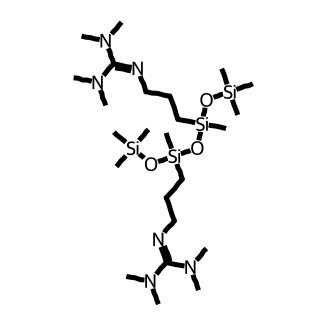 CN(C)C(=NCCC[Si](C)(O[Si](C)(C)C)O[Si](C)(CCCN=C(N(C)C)N(C)C)O[Si](C)(C)C)N(C)C